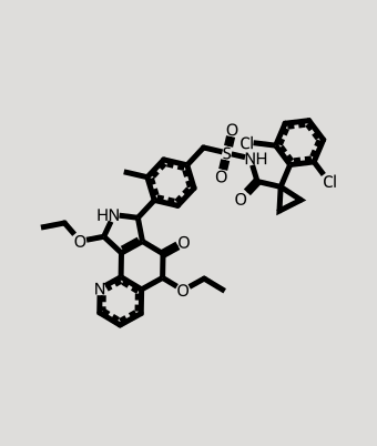 CCOC1NC(c2ccc(CS(=O)(=O)NC(=O)C3(c4c(Cl)cccc4Cl)CC3)cc2C)C2=C1c1ncccc1C(OCC)C2=O